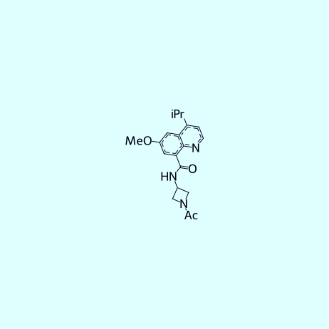 COc1cc(C(=O)NC2CN(C(C)=O)C2)c2nccc(C(C)C)c2c1